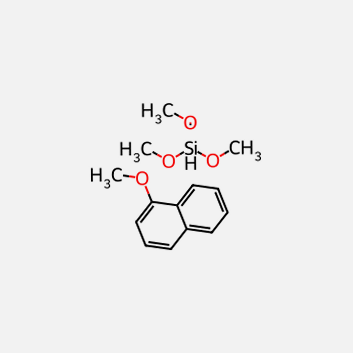 CO[SiH](OC)OC.COc1cccc2ccccc12